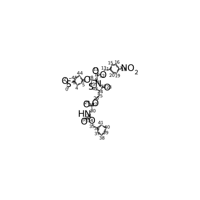 C[S+]([O-])c1ccc(OC2=C(C(=O)OCc3ccc([N+](=O)[O-])cc3)N3C(=O)C(CCOC(=O)CNC(=O)OCc4ccccc4)C3S2)cc1